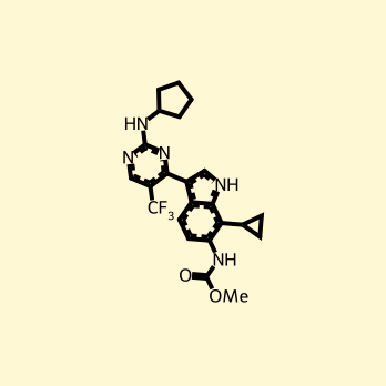 COC(=O)Nc1ccc2c(-c3nc(NC4CCCC4)ncc3C(F)(F)F)c[nH]c2c1C1CC1